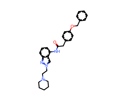 O=C(Cc1ccc(OCc2ccccc2)cc1)Nc1cccc2nn(CCN3CCCCC3)cc12